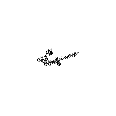 CC(C)(C)OC(=O)N[C@@H](CSCc1cccc(C(=O)Nc2ccc(N3CCCCC3)cc2C(=O)NN=Cc2ccc(Cl)c(C(F)(F)F)c2)c1)C(=O)NCCOCCOCCOCCN=[N+]=[N-]